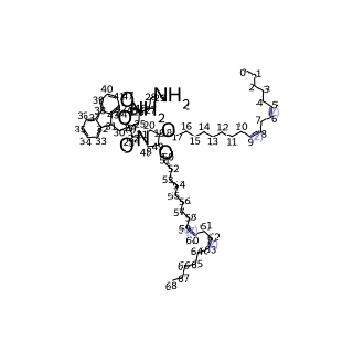 CCCCC/C=C\C/C=C\CCCCCCCCOC1CN(C(=O)[C@](CCCCN)(CC2c3ccccc3-c3ccccc32)OC(N)=O)CC1OCCCCCCCC/C=C\C/C=C\CCCCC